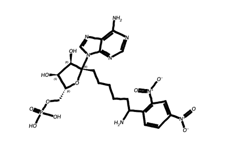 Nc1ncnc2c1ncn2[C@]1(CCCCCC(N)c2ccc([N+](=O)[O-])cc2[N+](=O)[O-])O[C@H](COP(=O)(O)O)[C@@H](O)[C@H]1O